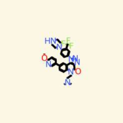 COc1ccc(-c2ccc3c(c2)c2c(nnn2-c2ccc(N4CCNCC4)c(C(F)(F)F)c2)c(=O)n3CCN(C)C)cn1